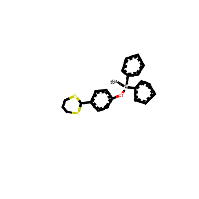 CC(C)(C)[Si](Oc1ccc(C2SCCCS2)cc1)(c1ccccc1)c1ccccc1